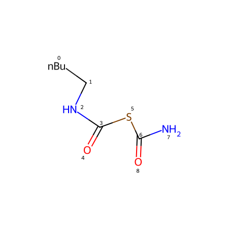 CCCCCNC(=O)SC(N)=O